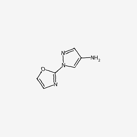 Nc1cnn(-c2ncco2)c1